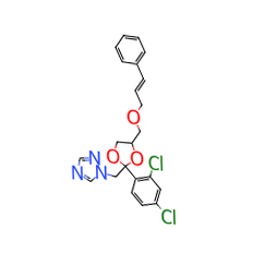 Clc1ccc(C2(Cn3cncn3)OCC(COC/C=C/c3ccccc3)O2)c(Cl)c1